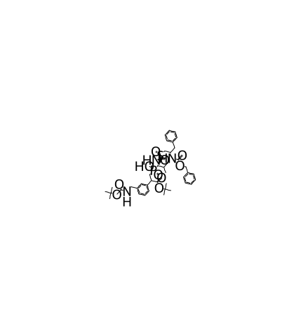 CC(C)C(NS(=O)(=O)CC(Cc1ccccc1)NC(=O)OCc1ccccc1)P(=O)(O)CC(C(=O)OC(C)(C)C)c1cccc(CNC(=O)OC(C)(C)C)c1